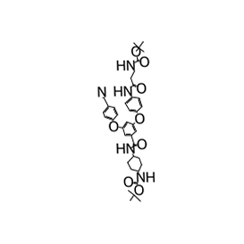 CC(C)(C)OC(=O)NCCC(=O)Nc1ccc(Oc2cc(Oc3ccc(C#N)cc3)cc(C(=O)NC3CCC(NC(=O)OC(C)(C)C)CC3)c2)cc1